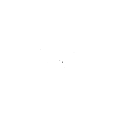 CCC(C)C[C@@H](CC)N1CCCC1